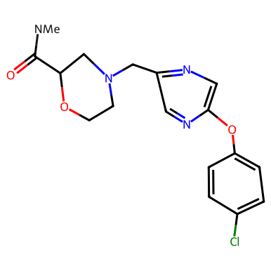 CNC(=O)C1CN(Cc2cnc(Oc3ccc(Cl)cc3)cn2)CCO1